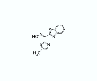 Cc1cnc(/C(=N\O)c2nc3ccccc3s2)s1